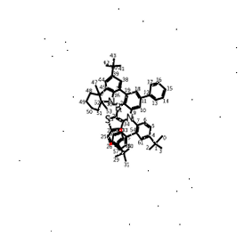 CC(C)(C)c1ccc(N2c3cc(-c4ccccc4)cc4c3B(c3sc5ccc(C(C)(C)C)cc5c32)N2c3c-4cc(C(C)(C)C)cc3C3(C)CCCCC23C)c(-c2ccccc2)c1